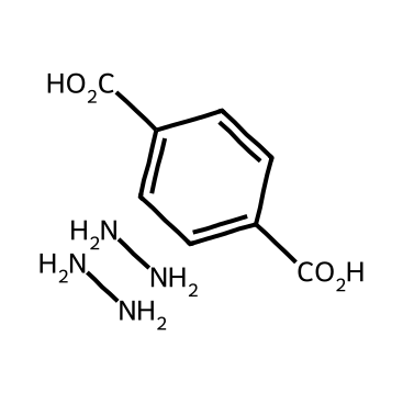 NN.NN.O=C(O)c1ccc(C(=O)O)cc1